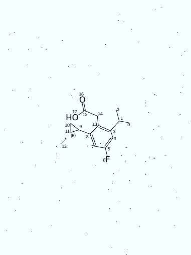 CC(C)c1cc(F)cc(C2C[C@H]2C)c1CC(=O)O